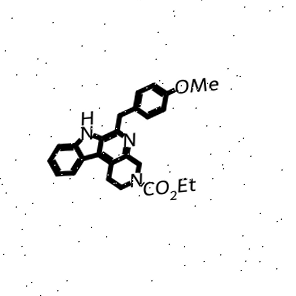 CCOC(=O)N1CCc2c(nc(Cc3ccc(OC)cc3)c3[nH]c4ccccc4c23)C1